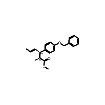 CC=C[C@@H](c1ccc(OCc2ccccc2)cc1)[C@H](C)C(=O)OC